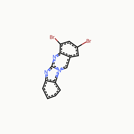 Brc1cc(Br)c2nc3nc4ccccc4n3cc2c1